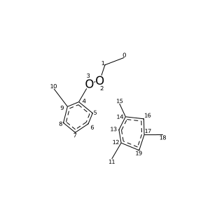 CCOOc1ccccc1C.Cc1cc(C)cc(C)c1